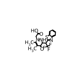 CC1=C(C)N(CC(=O)O)NC(C(c2nc3ccccc3s2)C(F)(F)F)C1=O